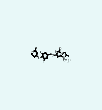 Cc1cc(Oc2c(F)cc(COc3cc4n(c(=O)n3)CC(C)N4C(=O)O)cc2F)ccn1